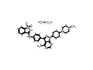 CC(=O)O.CN1CCN(C2CCC(n3nc(-c4ccc(NC5=NS(=O)(=O)c6ccccc65)cc4)c4c(N)ncnc43)CC2)CC1